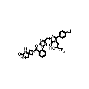 O=C1NCC2(CN(C(=O)c3ccccc3-n3cnc(Cn4nc(-c5ccc(Cl)cc5)n(CC(O)C(F)(F)F)c4=O)n3)C2)N1